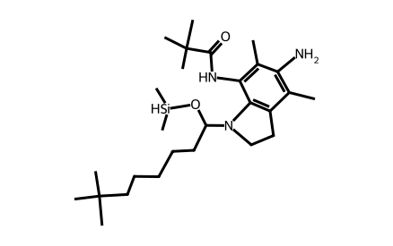 Cc1c(N)c(C)c(NC(=O)C(C)(C)C)c2c1CCN2C(CCCCCC(C)(C)C)O[SiH](C)C